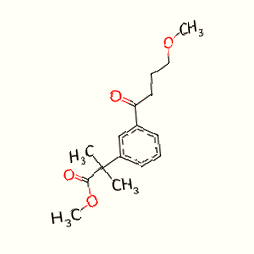 COCCCC(=O)c1cccc(C(C)(C)C(=O)OC)c1